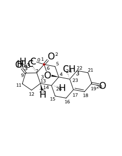 CC(=O)O[C@]12CC[C@]3(C)C(=O)CC[C@H]3[C@@H]1CCC1=CC(=O)CC[C@@]12C